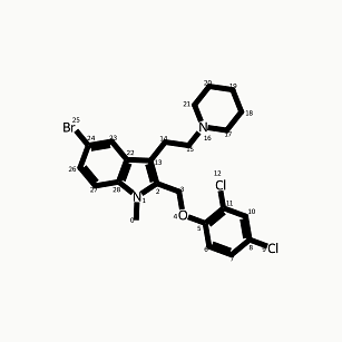 Cn1c(COc2ccc(Cl)cc2Cl)c(CCN2CCCCC2)c2cc(Br)ccc21